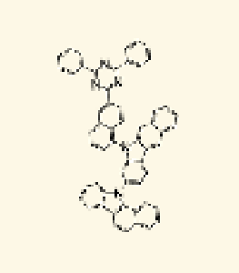 c1ccc(-c2nc(-c3ccccc3)nc(-c3ccc4c(-n5c6cc(-n7c8ccccc8c8ccc9ccccc9c87)ccc6c6cc7ccccc7cc65)cccc4c3)n2)cc1